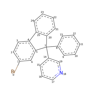 Brc1ccc2c(c1)C(c1ccccc1)(c1cccnc1)c1ccccc1-2